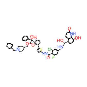 O=C(NCc1ccc(-c2cccc(C(O)(C(=O)OCC3CCN(Cc4ccccc4)CC3)c3ccccc3)c2)s1)c1c(F)cc(CNCC(O)c2ccc(O)c3[nH]c(=O)ccc23)cc1Cl